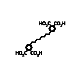 O=C(O)c1ccc(CCCCCCCCc2ccc(C(=O)O)c(C(=O)O)c2)cc1C(=O)O